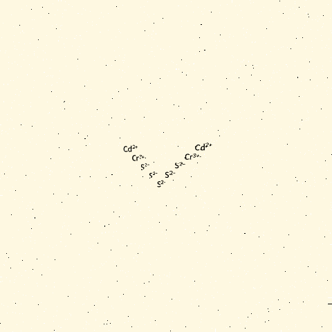 [Cd+2].[Cd+2].[Cr+3].[Cr+3].[S-2].[S-2].[S-2].[S-2].[S-2]